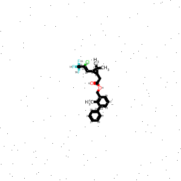 Cc1c(COC(=O)CC2C(/C=C(\Cl)C(F)(F)F)C2(C)C)cccc1-c1ccccc1